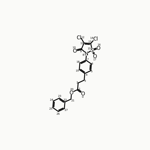 O=C(CCc1ccc(N2C(=O)C(Cl)=C(Cl)S2(=O)=O)cc1)OCc1ccccc1